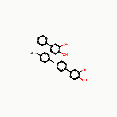 Cc1ccc(C=O)cc1.Oc1ccc(-c2ccccc2)cc1O.Oc1ccc(-c2ccccc2)cc1O